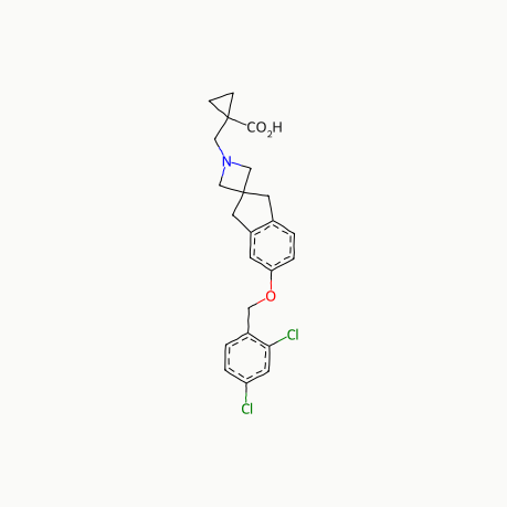 O=C(O)C1(CN2CC3(Cc4ccc(OCc5ccc(Cl)cc5Cl)cc4C3)C2)CC1